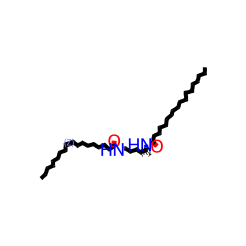 CCCCCCCC/C=C\CCCCCCCC(=O)NCCCC[C@@H](C)NC(=O)CCCCCCCCCCCCCCCCC